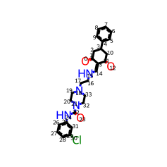 O=C1CC(c2ccccc2)CC(=O)C1=CNCCN1CCN(C(=O)Nc2cccc(Cl)c2)CC1